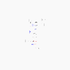 Cc1nc(C2=CCCC=C2)oc1-c1ccc2c(c1)NC(=O)/C2=C\c1[nH]c(C)c(C=O)c1C